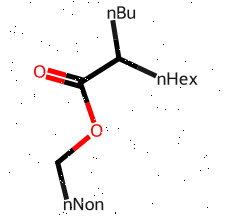 CCCCCCCCCCOC(=O)C(CCCC)CCCCCC